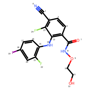 N#Cc1ccc(C(=O)NOCCO)c(Nc2ccc(I)cc2F)c1F